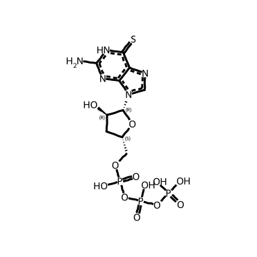 Nc1nc2c(ncn2[C@@H]2O[C@H](COP(=O)(O)OP(=O)(O)OP(=O)(O)O)C[C@H]2O)c(=S)[nH]1